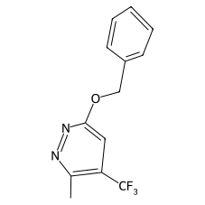 Cc1nnc(OCc2ccccc2)cc1C(F)(F)F